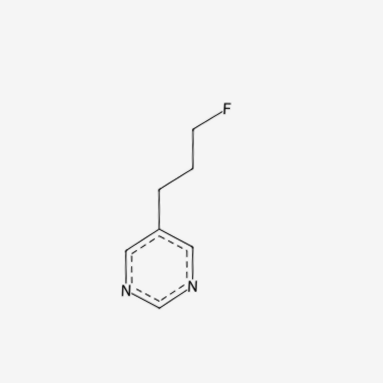 FCCCc1cncnc1